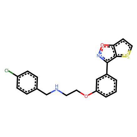 Clc1ccc(CNCCOc2cccc(-c3noc4ccsc34)c2)cc1